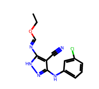 CCOC=Nc1[nH]nc(Nc2cccc(Cl)c2)c1C#N